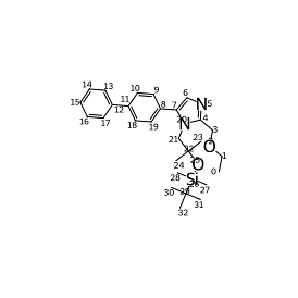 CCOCc1ncc(-c2ccc(-c3ccccc3)cc2)n1CC(C)(C)O[Si](C)(C)C(C)(C)C